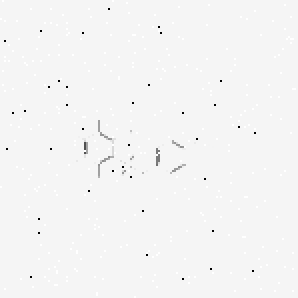 COc1ccc(CS(=O)(=O)c2c(O)c(F)c(F)c(F)c2F)cc1F